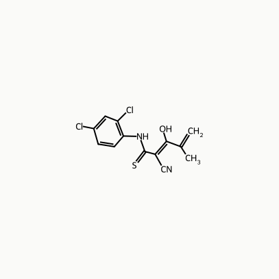 C=C(C)C(O)=C(C#N)C(=S)Nc1ccc(Cl)cc1Cl